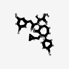 C[C@@H](C(N)=O)N(C(=O)Cc1cc(F)cc(F)c1)[C@@H]1CC=C[C@@H](c2ccc(F)cc2)N(CC2CC2)C1=O